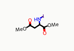 COC(=O)CC(NI)C(=O)OC